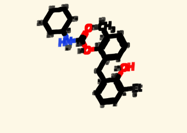 CCc1cccc(Cc2cccc(C)c2OC(=O)NC2CCCCC2)c1O